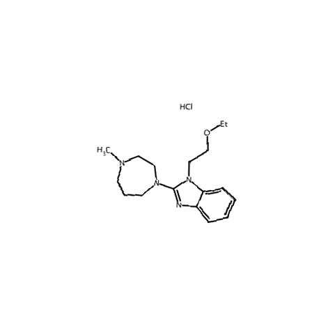 CCOCCn1c(N2CCCN(C)CC2)nc2ccccc21.Cl